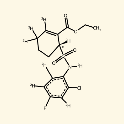 [2H]C1=C(C(=O)OCC)[C@]([2H])(S(=O)(=O)N([2H])c2c([2H])c([2H])c(F)c([2H])c2Cl)CCC1([2H])[2H]